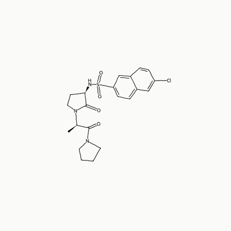 C[C@H](C(=O)N1CCCC1)N1CC[C@@H](NS(=O)(=O)c2ccc3cc(Cl)ccc3c2)C1=O